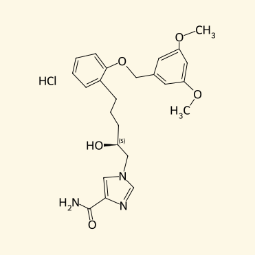 COc1cc(COc2ccccc2CCC[C@H](O)Cn2cnc(C(N)=O)c2)cc(OC)c1.Cl